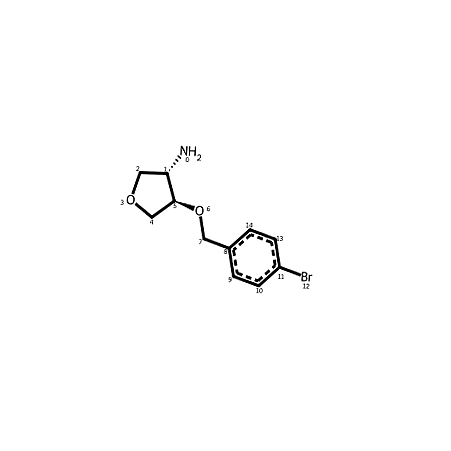 N[C@H]1COC[C@@H]1OCc1ccc(Br)cc1